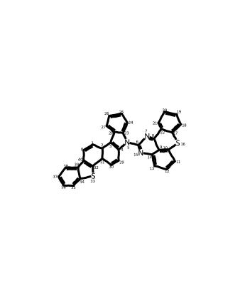 C1=CC2c3c(n(-c4nc5c6c(cccc6n4)Sc4ccccc4-5)c4ccccc34)C=CC2c2sc3ccccc3c21